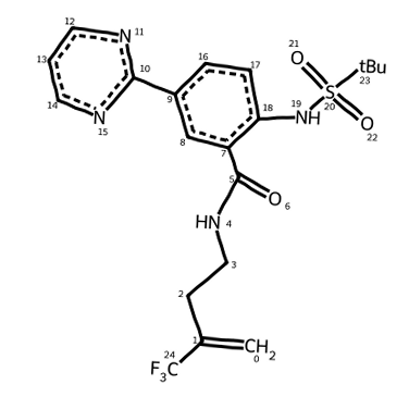 C=C(CCNC(=O)c1cc(-c2ncccn2)ccc1NS(=O)(=O)C(C)(C)C)C(F)(F)F